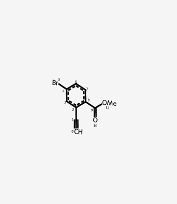 C#Cc1cc(Br)ccc1C(=O)OC